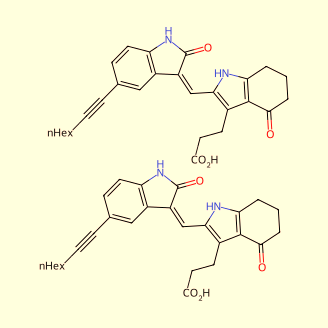 CCCCCCC#Cc1ccc2c(c1)/C(=C/c1[nH]c3c(c1CCC(=O)O)C(=O)CCC3)C(=O)N2.CCCCCCC#Cc1ccc2c(c1)C(=Cc1[nH]c3c(c1CCC(=O)O)C(=O)CCC3)C(=O)N2